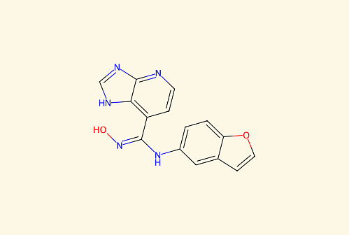 O/N=C(/Nc1ccc2occc2c1)c1ccnc2nc[nH]c12